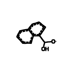 [O]C(O)c1cccc2ccccc12